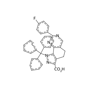 O=C(O)c1nn(C(c2ccccc2)(c2ccccc2)c2ccccc2)c2c1CCc1cnc(-c3ccc(F)cc3)nc1-2